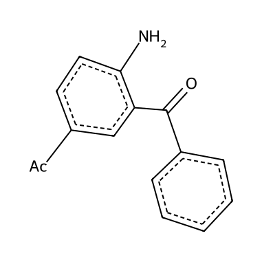 CC(=O)c1ccc(N)c(C(=O)c2ccccc2)c1